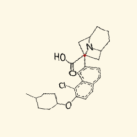 CC1CCC(Oc2ccc3ccc(CN4C5CCCC4CC(C(=O)O)C5)cc3c2Cl)CC1